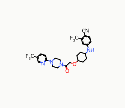 N#Cc1ccc(NC2CCC(OCC(=O)N3CCN(c4ccc(C(F)(F)F)cn4)CC3)CC2)cc1C(F)(F)F